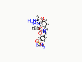 CC1=C(N)Nc2cc(CN(Cc3ccc(S(N)(=O)=O)cc3)C(=O)OC(C)(C)C)ccc2O1